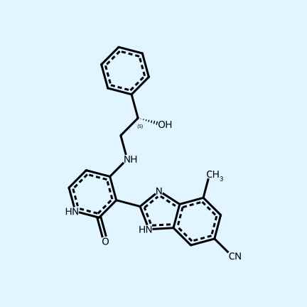 Cc1cc(C#N)cc2[nH]c(-c3c(NC[C@@H](O)c4ccccc4)cc[nH]c3=O)nc12